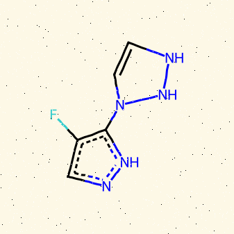 Fc1cn[nH]c1N1C=CNN1